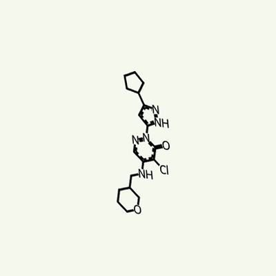 O=c1c(Cl)c(NCC2CCCOC2)cnn1-c1cc(C2CCCC2)n[nH]1